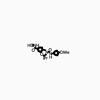 COc1ccc(NC(=O)N2Cc3ccc(C(=O)NO)cc3OC(C(C)C)C2)cc1